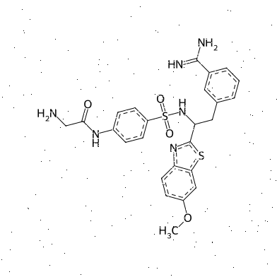 COc1ccc2nc(C(Cc3cccc(C(=N)N)c3)NS(=O)(=O)c3ccc(NC(=O)CN)cc3)sc2c1